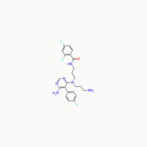 NCCCN(CCCNC(=O)c1ccc(F)cc1F)c1ncnc(N)c1-c1ccc(F)cc1